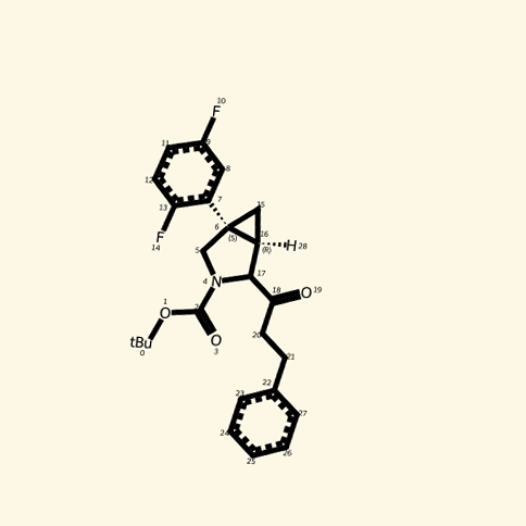 CC(C)(C)OC(=O)N1C[C@@]2(c3cc(F)ccc3F)C[C@H]2C1C(=O)CCc1ccccc1